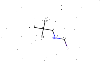 CCC(C)(CC)CNCI